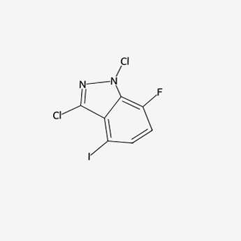 Fc1ccc(I)c2c(Cl)nn(Cl)c12